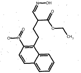 CCOC(=O)C(/C=N\O)CCc1c([N+](=O)[O-])ccc2ccccc12